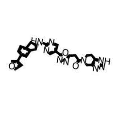 O=C(Cc1nnc(-c2cnc(N[C@@H]3Cc4ccc(-c5ccoc5)cc4C3)nc2)o1)N1CCc2[nH]nnc2C1